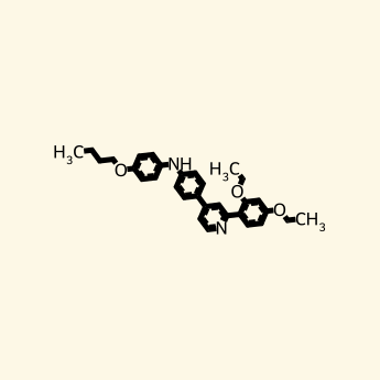 CCCCOc1ccc(Nc2ccc(-c3ccnc(-c4ccc(OCC)cc4OCC)c3)cc2)cc1